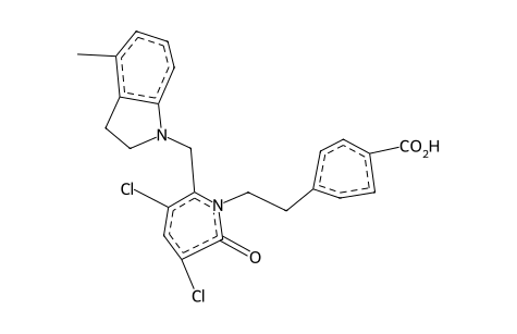 Cc1cccc2c1CCN2Cc1c(Cl)cc(Cl)c(=O)n1CCc1ccc(C(=O)O)cc1